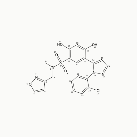 CN(Cc1ccon1)S(=O)(=O)c1cc(-c2ccnn2-c2ccccc2Cl)c(O)cc1O